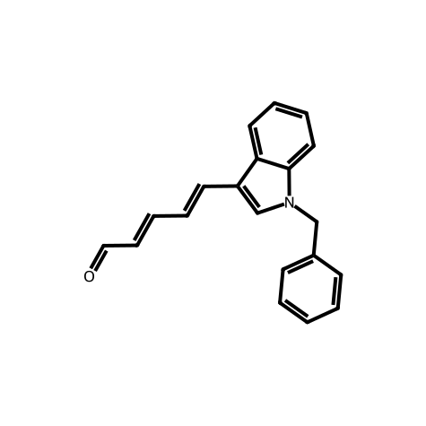 O=C/C=C/C=C/c1cn(Cc2ccccc2)c2ccccc12